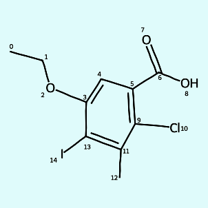 CCOc1cc(C(=O)O)c(Cl)c(C)c1I